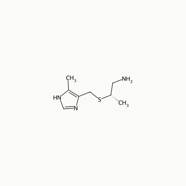 Cc1[nH]cnc1CS[C@@H](C)CN